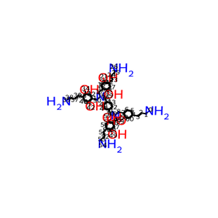 NC/C=C/c1ccc(CN(Cc2ccc(CN(Cc3cc(O)c(/C=C/CN)cc3O)Cc3cc(O)c(/C=C/CN)cc3O)cc2)Cc2cc(O)c(/C=C/CN)cc2O)c(O)c1